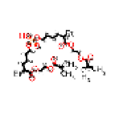 C=C(C)C(=O)OCCOC(=O)C(CC)CCCCOP(=O)(O)OCCCCC(CC)C(=O)OCCOC(=O)C(=C)C